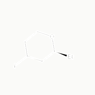 CC[C@H]1CC(I)CCO1